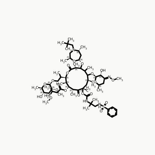 CON=C1C[C@@H](C)O[C@@H](OC2C(C)C(O[C@H]3C[C@@H](C)N(CC(C)(C)C)C[C@H](C)O3)[C@@H](C)C(=O)O[C@H](C(C)CO[C@@H]3O[C@H](C)[C@@H](O)[C@@H](OC)[C@H]3OC)[C@H](C)[C@@H](OC(=O)CC(C)C)[C@@H](C)C(=O)[C@@](C)(OC(=O)NC(C)(C)CNS(=O)(=O)c3ccccc3)C[C@@H]2C)[C@@H]1O